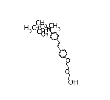 CN(C(=O)OC(C)(C)C)c1ccc(C=Cc2ccc(OCCOCCO)cc2)cc1